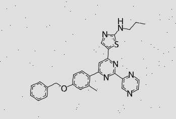 CCCNc1ncc(-c2cc(-c3ccc(OCc4ccccc4)cc3C)nc(-c3cnccn3)n2)s1